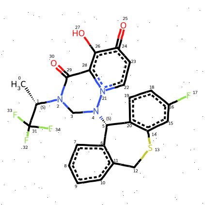 C[C@H](N1CN([C@H]2c3ccccc3CSc3cc(F)ccc32)n2ccc(=O)c(O)c2C1=O)C(F)(F)F